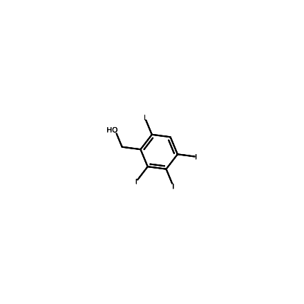 OCc1c(I)cc(I)c(I)c1I